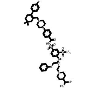 CC1(C)CCC(c2ccc(Cl)cc2)=C(CN2CCN(c3ccc(C(=O)NS(=O)(=O)c4ccc(N[C@H](CCN5CCC(C(O)O)CC5)CSc5ccccc5)c(S(=O)(=O)C(F)(F)F)c4)cc3)CC2)C1